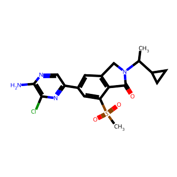 CC(C1CC1)N1Cc2cc(-c3cnc(N)c(Cl)n3)cc(S(C)(=O)=O)c2C1=O